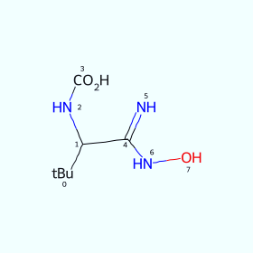 CC(C)(C)C(NC(=O)O)C(=N)NO